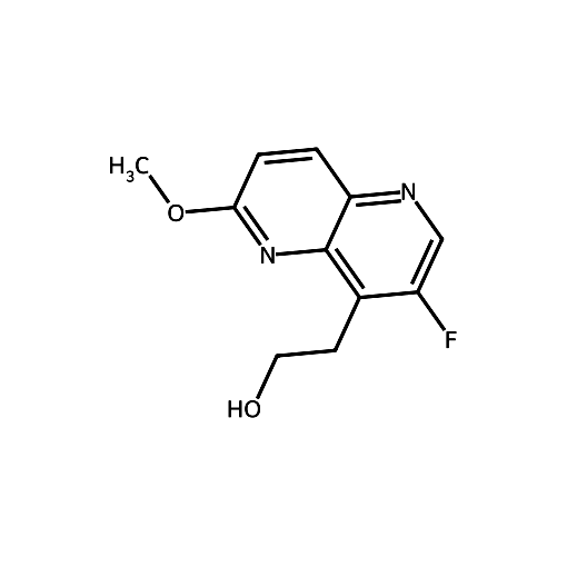 COc1ccc2ncc(F)c(CCO)c2n1